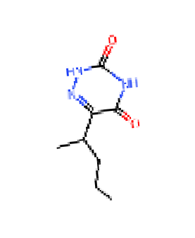 CCCC(C)c1n[nH]c(=O)[nH]c1=O